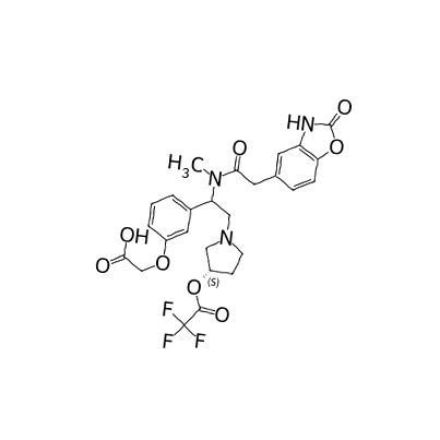 CN(C(=O)Cc1ccc2oc(=O)[nH]c2c1)C(CN1CC[C@H](OC(=O)C(F)(F)F)C1)c1cccc(OCC(=O)O)c1